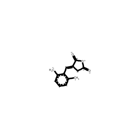 Cc1cccc(C)c1C=C1CC(=O)OC1=O